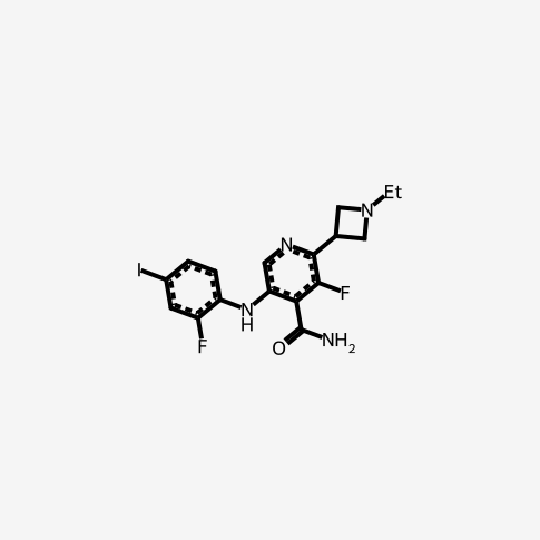 CCN1CC(c2ncc(Nc3ccc(I)cc3F)c(C(N)=O)c2F)C1